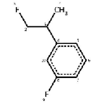 C[C](CF)c1cccc(F)c1